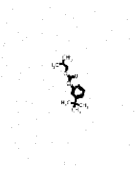 CC(C)COC(=O)Oc1cccc(C(C)(C)C)c1